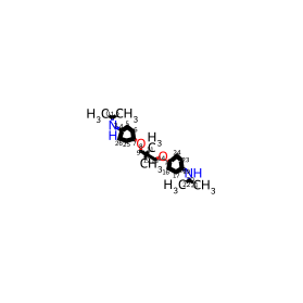 CC(C)Nc1ccc(OCC(C)(C)COc2ccc(NC(C)C)cc2)cc1